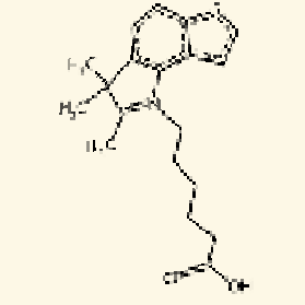 CC1=[N+](CCCCCC(=O)O)c2c(ccc3sccc23)C1(C)C